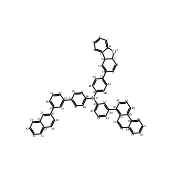 C1=CC2Oc3ccccc3C2C=C1c1ccc(N(c2ccc(-c3cccc(-c4ccc5ccccc5c4)c3)cc2)c2cccc(-c3cccc4c3ccc3ccccc34)c2)cc1